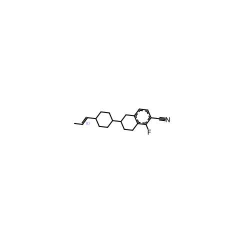 C/C=C/C1CCC(C2CCc3c(ccc(C#N)c3F)C2)CC1